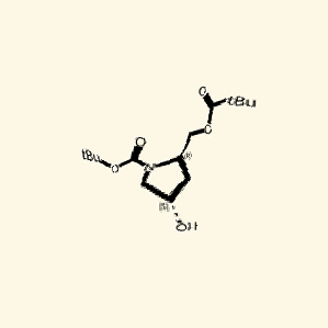 CC(C)(C)OC(=O)N1C[C@@H](O)C[C@@H]1COC(=O)C(C)(C)C